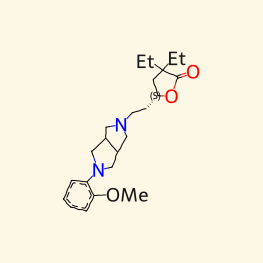 CCC1(CC)C[C@@H](CCN2CC3CN(c4ccccc4OC)CC3C2)OC1=O